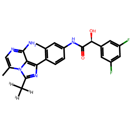 [2H]C([2H])([2H])c1nc(-c2ccc(NC(=O)[C@@H](O)c3cc(F)cc(F)c3)cc2C)c2c(N)ncc(C)n12